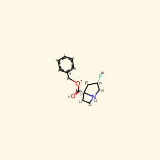 O=C(OCc1ccccc1)[C@@]12CCN1C[C@@H](F)C2